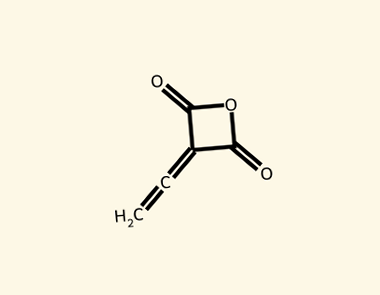 C=C=C1C(=O)OC1=O